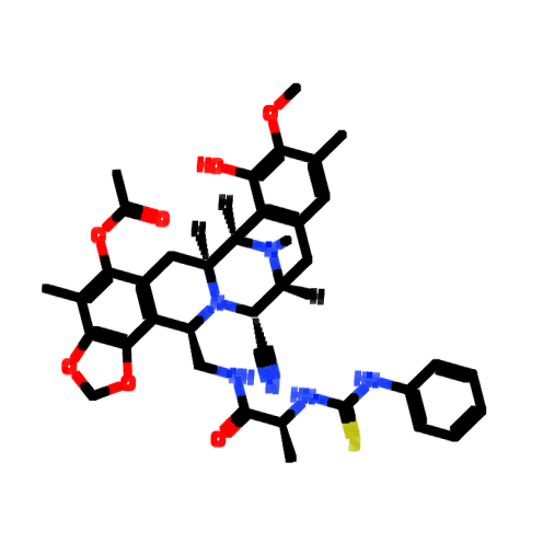 COc1c(C)cc2c(c1O)[C@@H]1[C@@H]3Cc4c(OC(C)=O)c(C)c5c(c4[C@H](CNC(=O)[C@H](C)NC(=S)Nc4ccccc4)N3[C@@H](C#N)[C@@H](C2)N1C)OCO5